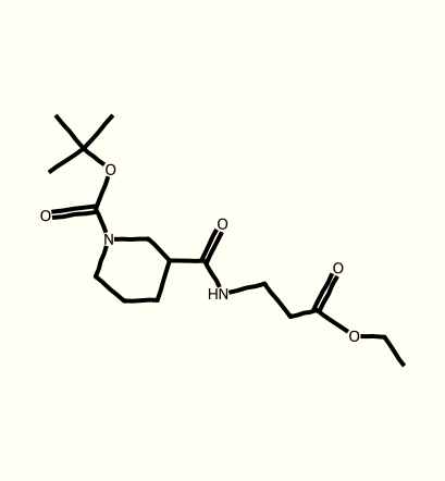 CCOC(=O)CCNC(=O)C1CCCN(C(=O)OC(C)(C)C)C1